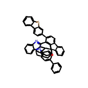 c1ccc(-c2ccc(-n3c(-c4c(-c5ccc6c(c5)sc5ccccc56)ccc5c4C4(c6ccccc6-5)C5CC6CC(C5)CC4C6)nc4ccccc43)cc2)cc1